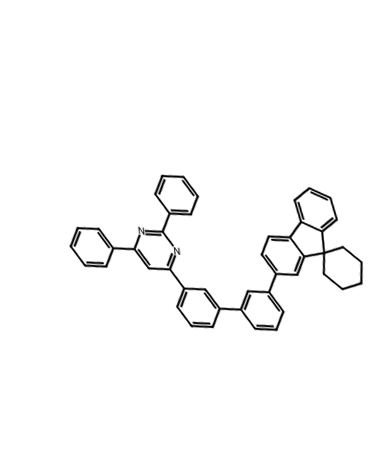 c1ccc(-c2cc(-c3cccc(-c4cccc(-c5ccc6c(c5)C5(CCCCC5)c5ccccc5-6)c4)c3)nc(-c3ccccc3)n2)cc1